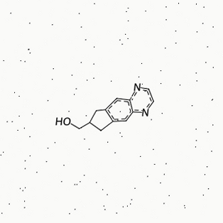 OCC1Cc2cc3nccnc3cc2C1